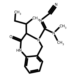 CCC(C)C1C(=O)Nc2ccccc2CN1C(=NC#N)N(C)C